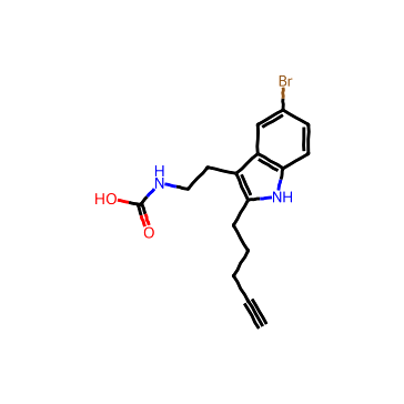 C#CCCCc1[nH]c2ccc(Br)cc2c1CCNC(=O)O